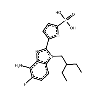 CCC(CC)Cn1c(-c2ccc(P(=O)(O)O)o2)nc2c(N)c(F)ccc21